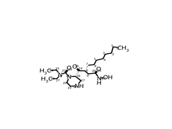 CCCCCCCC[C@H](CC(=O)NO)C(=O)[C@@H]1CNCCN1C(=O)N(CC)CC